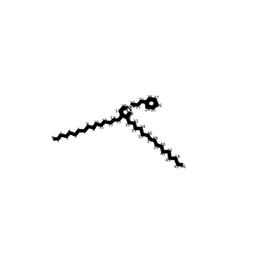 CCCCCCCCCCCCCCCCc1cc[n+](CCCc2ccccc2)cc1CCCCCCCCCCCCCCCC